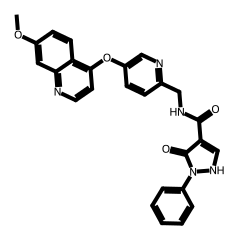 COc1ccc2c(Oc3ccc(CNC(=O)c4c[nH]n(-c5ccccc5)c4=O)nc3)ccnc2c1